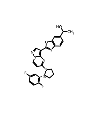 CC(O)c1ccc2nc(-c3cnn4ccc(N5CCC[C@@H]5c5cc(F)ccc5F)nc34)oc2c1